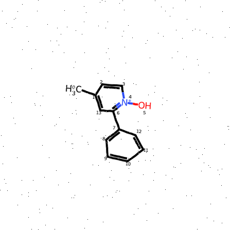 Cc1cc[n+](O)c(-c2ccccc2)c1